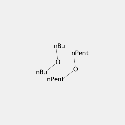 CCCCCOCCCCC.CCCCOCCCC